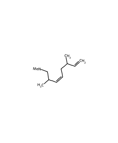 C=CC(C)C/C=C\C(C)CNC